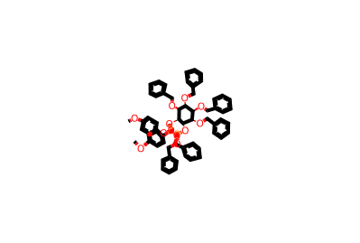 COc1ccc(OP(OCc2ccccc2)O[C@@H]2[C@@H](OCc3ccccc3)[C@H](OCc3ccccc3)[C@@H](OCc3ccccc3)[C@H](OCc3ccccc3)[C@@H]2OP(OCc2ccccc2)Oc2ccc(OC)cc2)cc1